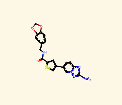 Nc1nc2ccc(-c3csc(C(=O)NCc4ccc5c(c4)OCO5)c3)cn2n1